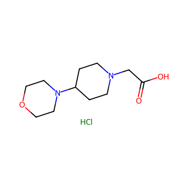 Cl.O=C(O)CN1CCC(N2CCOCC2)CC1